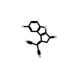 N#CC(C#N)=C1CC(=O)c2sc3ccc(F)cc3c21